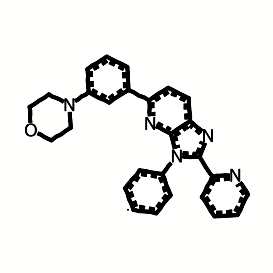 [c]1ccc(-n2c(-c3ccccn3)nc3ccc(-c4cccc(N5CCOCC5)c4)nc32)cc1